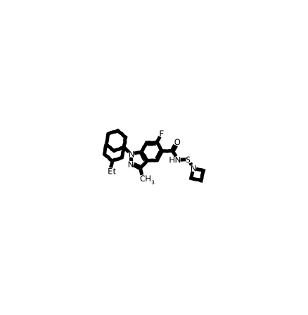 CCC1CC2CCCC(n3nc(C)c4cc(C(=O)NSN5CCC5)c(F)cc43)(C1)C2